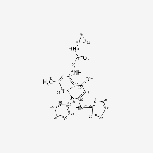 Cc1cc(NCC(=O)NC2CC2)c2c(=O)cc(Nc3ccccc3)n(-c3ccccc3)c2n1